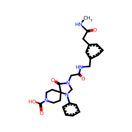 CNC(=O)Cc1cccc(CNC(=O)CN2CN(c3ccccc3)C3(CCN(C(=O)O)CC3)C2=O)c1